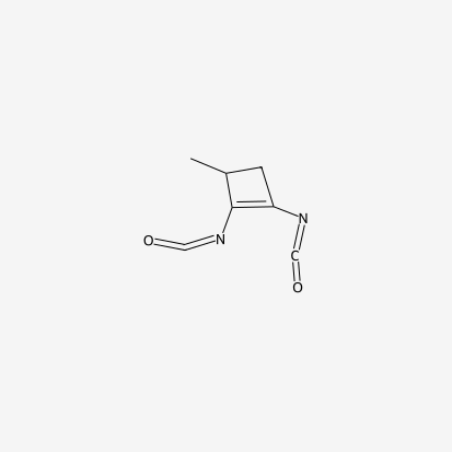 CC1CC(N=C=O)=C1N=C=O